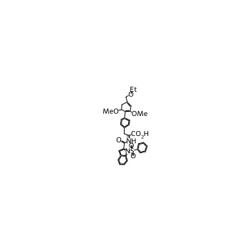 CCOCC1=CC(OC)=C(c2ccc(C[C@H](NC(=O)c3cc4ccccc4n3S(=O)(=O)c3ccccc3)C(=O)O)cc2)C(OC)C1